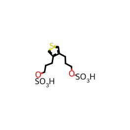 O=S(=O)(O)OCCCc1cscc1CCCOS(=O)(=O)O